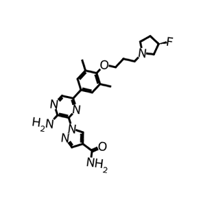 Cc1cc(-c2cnc(N)c(-n3cc(C(N)=O)cn3)n2)cc(C)c1OCCCN1CC[C@@H](F)C1